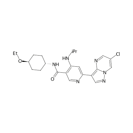 CCO[C@H]1CC[C@H](NC(=O)c2cnc(-c3cnn4cc(Cl)cnc34)cc2NC(C)C)CC1